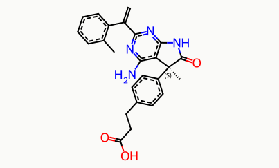 C=C(c1nc(N)c2c(n1)NC(=O)[C@@]2(C)c1ccc(CCC(=O)O)cc1)c1ccccc1C